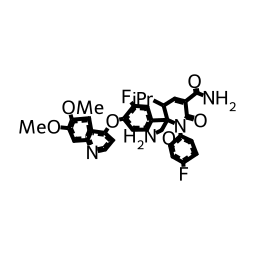 COc1cc2nccc(Oc3ccc(C4(C(N)=O)C(C(C)C)C=C(C(N)=O)C(=O)N4c4ccc(F)cc4)cc3F)c2cc1OC